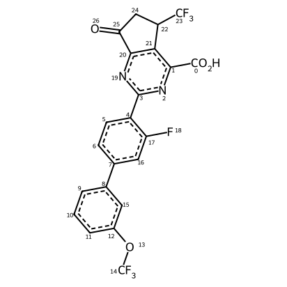 O=C(O)c1nc(-c2ccc(-c3cccc(OC(F)(F)F)c3)cc2F)nc2c1C(C(F)(F)F)CC2=O